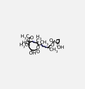 CC(=O)O[C@H]1/C=C/[C@H](C)[C@@H](/C(C)=C/C=C/[C@@H](C)COC(=O)N2CCC[C@@H]2CO)OC(=O)C[C@H](O)CC[C@@]1(C)O